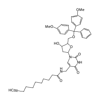 C#CCCCCCCCCC(=O)NCc1cn(C2CC(O)C(COC(c3ccccc3)(c3ccc(OC)cc3)c3ccc(OC)cc3)O2)c(=O)[nH]c1=O